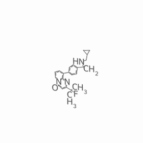 C=C(NCC1CC1)c1ccc(-c2cccn3c(=O)cc(C(C)(C)F)nc23)cc1